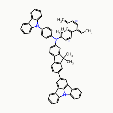 C=C/C=C\C(=CC)C(=C)/C=C\C(=C)N(c1ccc(-n2c3ccccc3c3ccccc32)cc1)c1ccc2c(c1)C(C)(C)c1cc(-c3cc4c5ccccc5n5c6ccccc6c(c3)c45)ccc1-2